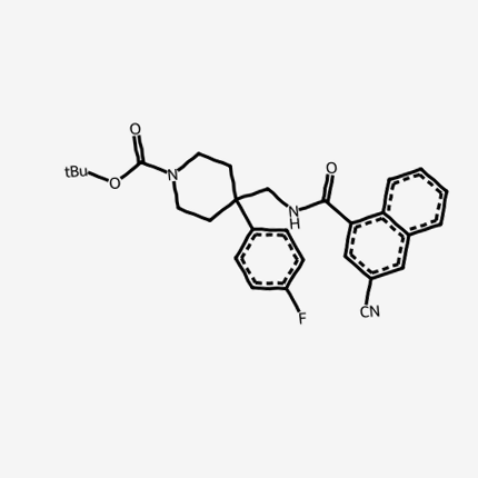 CC(C)(C)OC(=O)N1CCC(CNC(=O)c2cc(C#N)cc3ccccc23)(c2ccc(F)cc2)CC1